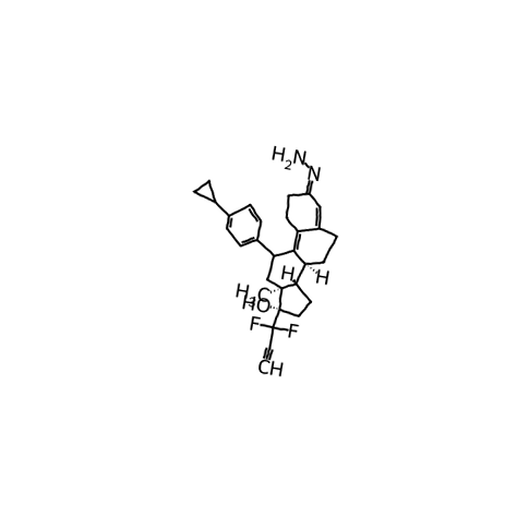 C#CC(F)(F)[C@]1(O)CC[C@H]2[C@@H]3CCC4=C/C(=N/N)CCC4=C3C(c3ccc(C4CC4)cc3)C[C@@]21C